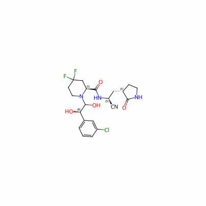 N#C[C@H](C[C@@H]1CCNC1=O)NC(=O)[C@@H]1CC(F)(F)CCN1C(O)[C@H](O)c1cccc(Cl)c1